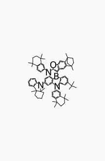 CC(C)(C)c1ccc2c(c1)N(c1ccc3c(c1)C(C)(C)CCC3(C)C)c1cc(N3c4ccccc4C4(C)CCCCC34C)cc3c1B2c1c(oc2cc4c(cc12)C1(C)CCC4(C)CC1)N3c1ccc2c(c1)C(C)(C)CCC2(C)C